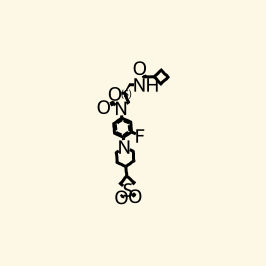 O=C(NC[C@H]1CN(c2ccc(N3CCC(C4CS(=O)(=O)C4)CC3)c(F)c2)C(=O)O1)C1CCC1